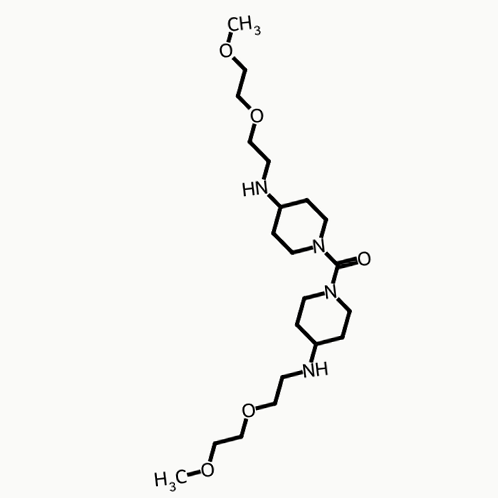 COCCOCCNC1CCN(C(=O)N2CCC(NCCOCCOC)CC2)CC1